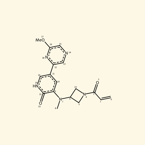 C=CC(=O)N1CC(N(C)c2cc(-c3cncc(OC)n3)c[nH]c2=O)C1